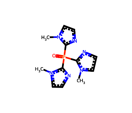 Cn1ccnc1P(=O)(c1nccn1C)c1nccn1C